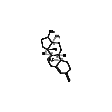 CC(=O)OC1CC[C@H]2[C@@H]3CCC4=CC(=O)CC[C@]4(C)[C@@H]3CC[C@]12C